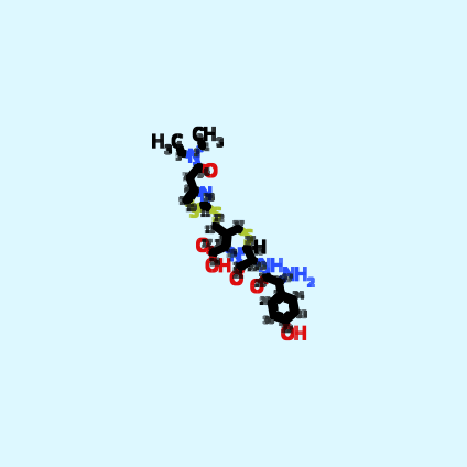 CCN(CC)C(=O)Cc1csc(SCC2=C(C(=O)O)N3C(=O)C(NC(=O)C(N)c4ccc(O)cc4)[C@@H]3SC2)n1